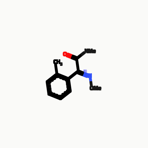 CNC(=O)/C(=N/OC)c1ccccc1C